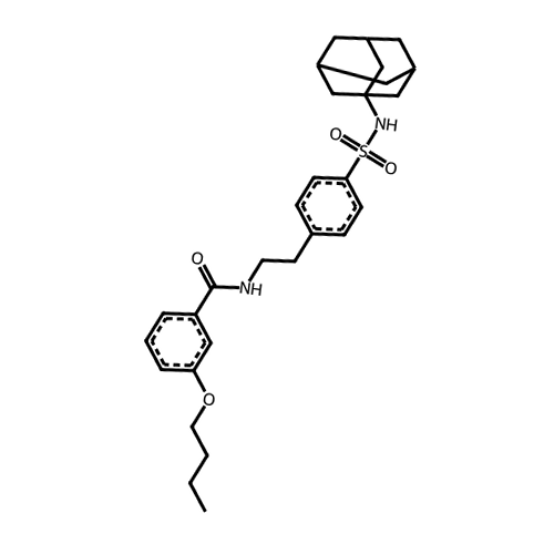 CCCCOc1cccc(C(=O)NCCc2ccc(S(=O)(=O)NC34CC5CC(CC(C5)C3)C4)cc2)c1